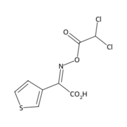 O=C(O)C(=NOC(=O)C(Cl)Cl)c1ccsc1